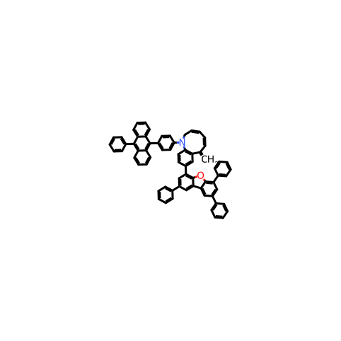 C=C1/C=C\C=C/CN(c2ccc(-c3c4ccccc4c(-c4ccccc4)c4ccccc34)cc2)c2ccc(-c3cc(-c4ccccc4)cc4c3oc3c(-c5ccccc5)cc(-c5ccccc5)cc34)cc21